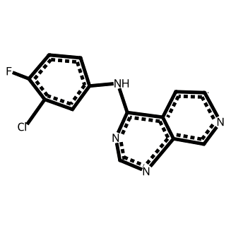 Fc1ccc(Nc2ncnc3cn[c]cc23)cc1Cl